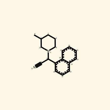 CC1CCCN(C(C#N)c2cccc3ccccc23)C1